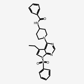 CCc1cn(S(=O)(=O)c2ccccc2)c2ncnc(N3CCC(NC(=O)c4ccccc4)CC3)c12